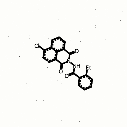 CCc1ccccc1C(=O)NN1C(=O)c2cccc3c(Cl)ccc(c23)C1=O